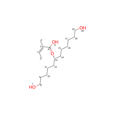 CC=C(C)C(=O)O.OCCCCCCCCCCCCO